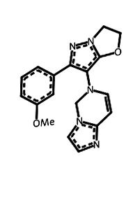 COc1cccc(-c2nn3c(c2N2C=Cc4nccn4C2)OCC3)c1